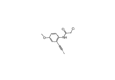 CC#Cc1cc(OC)ccc1NC(=O)CCl